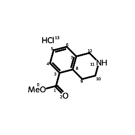 COC(=O)c1cccc2c1CCNC2.Cl